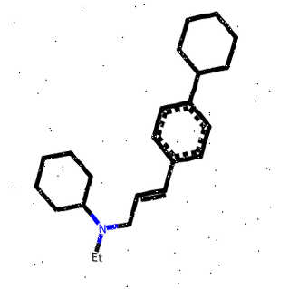 CCN(CC=Cc1ccc(C2CCCCC2)cc1)C1CCCCC1